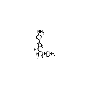 CCN1CCN(c2cc(Nc3nc(-c4ccc(N)cc4)cs3)nc(C)n2)CC1